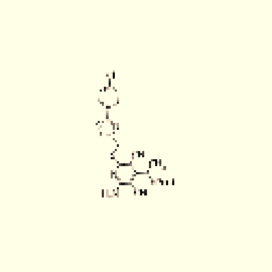 CCCCCC(C)c1c(C#N)c(N)nc(SCc2csc(-c3ccc(Cl)cc3)n2)c1C#N